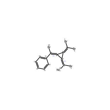 N#C/C(Br)=C1/C(=C(Br)Br)/C1=C(\Br)c1ccccc1